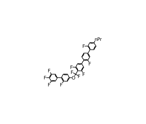 CCCc1ccc(-c2ccc(-c3cc(F)c(C(F)(F)Oc4ccc(-c5cc(F)c(F)c(F)c5)c(F)c4)c(F)c3)c(F)c2)c(F)c1